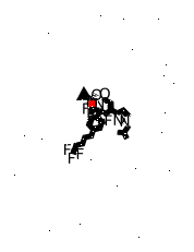 CC(C)Cn1ccc(C2=CC(=O)N(S(=O)(=O)C3CC3)C(c3ccc(CCCCC(F)(F)F)cc3F)(C(F)(F)F)C2)n1